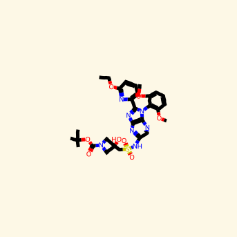 CCOc1cccc(-c2nc3nc(NS(=O)(=O)CC4(O)CN(C(=O)OC(C)(C)C)C4)cnc3n2-c2c(OC)cccc2OC)n1